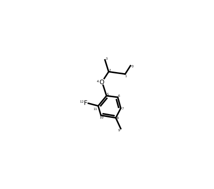 CCC(C)Oc1ccc(C)cc1F